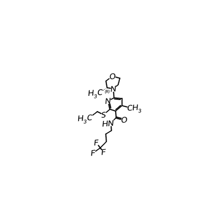 CCSc1nc(N2CCOC[C@H]2C)cc(C)c1C(=O)NCCCC(F)(F)F